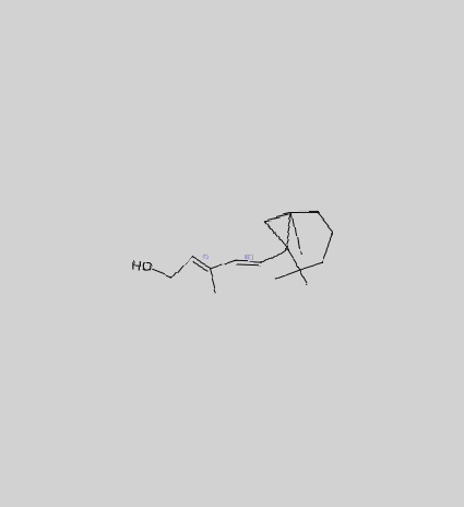 CC(/C=C/C12CC1(C)CCCC2(C)C)=C\CO